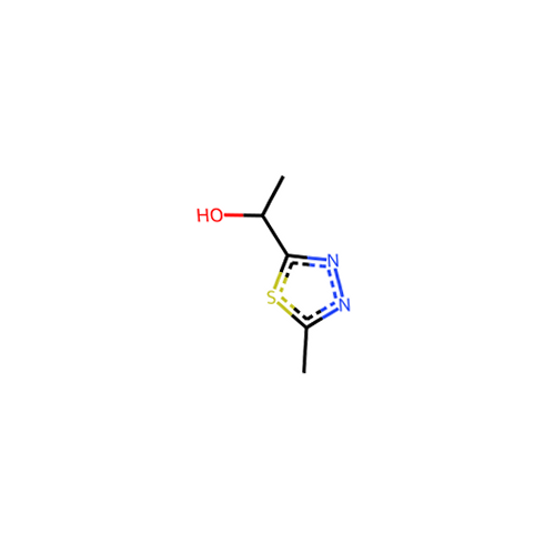 Cc1nnc(C(C)O)s1